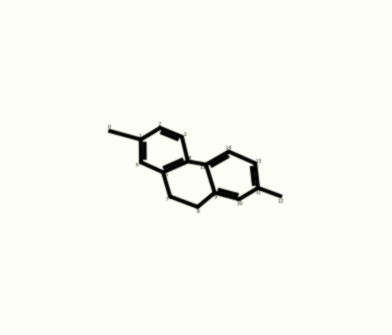 Cc1ccc2c(c1)CCc1cc(C)ccc1-2